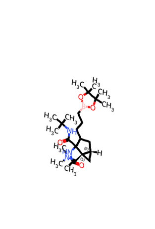 CC(=O)NC1(C(=O)NC(C)(C)C)C(CCCB2OC(C)(C)C(C)(C)O2)C[C@@H]2C[C@@]21CN(C)C